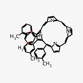 Cc1cccc(-c2c(-c3cccc(C)c3)c3c(-c4cccc(C)c4)c4nc(cc5ccc(cc6nc(cc2n3-c2cccc(C)c2)C=C6)[nH]5)C=C4)c1